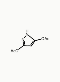 CC(=O)Oc1cc(OC(C)=O)[nH]n1